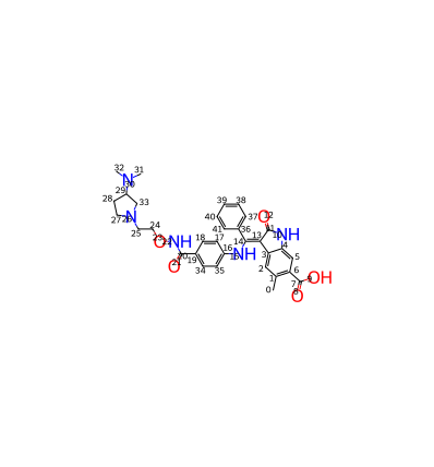 Cc1cc2c(cc1C(=O)O)NC(=O)C2=C(Nc1ccc(C(=O)NOCCN2CCC(N(C)C)C2)cc1)c1ccccc1